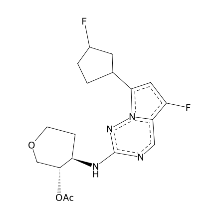 CC(=O)O[C@@H]1COCC[C@H]1Nc1ncc2c(F)cc(C3CCC(F)C3)n2n1